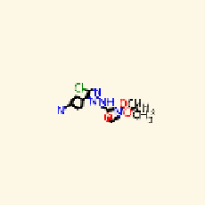 CC(C)(C)OC(=O)N1CCOC(CNc2ncc(Cl)c(-c3ccc(C#N)cc3)n2)C1